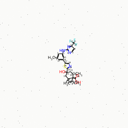 Cc1cc(Nc2nccc(C(F)(F)F)n2)cc(-c2cnc(C3(O)C[C@@H](C)C(C(=O)O)(C(C)C)[C@@H](C)C3)s2)c1